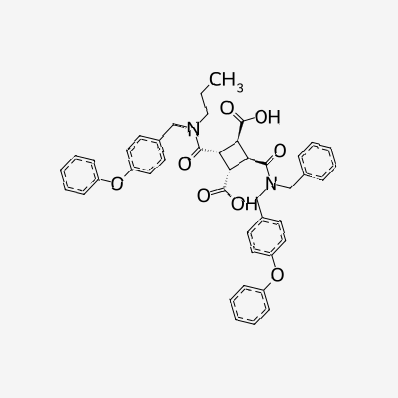 CCCN(Cc1ccc(Oc2ccccc2)cc1)C(=O)[C@H]1[C@@H](C(=O)O)[C@H](C(=O)N(Cc2ccccc2)Cc2ccc(Oc3ccccc3)cc2)[C@@H]1C(=O)O